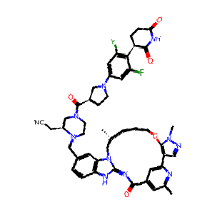 Cc1cc2cc(n1)-c1cnn(C)c1OCCC[C@@H](C)CN1/C(=N/C2=O)Nc2ccc(CN3CCN(C(=O)[C@@H]4CCN(c5cc(F)c([C@H]6CCC(=O)NC6=O)c(F)c5)C4)C[C@@H]3CC#N)cc21